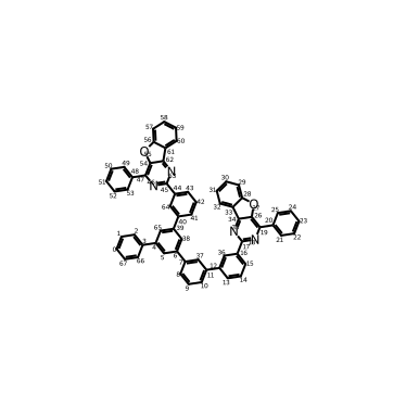 c1ccc(-c2cc(-c3cccc(-c4cccc(-c5nc(-c6ccccc6)c6oc7ccccc7c6n5)c4)c3)cc(-c3cccc(-c4nc(-c5ccccc5)c5oc6ccccc6c5n4)c3)c2)cc1